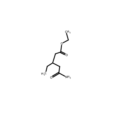 CCOC(=O)CC(CC)CC(N)=O